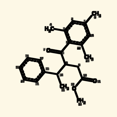 Cc1cc(C)c(C(=O)C(CC(=O)OP)C(C)c2ccccc2)c(C)c1